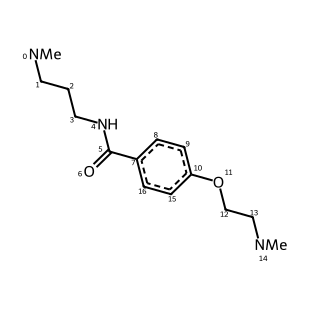 CNCCCNC(=O)c1ccc(OCCNC)cc1